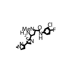 CNC(CC(N)c1ncc(-c2ccn(C)n2)s1)C(=O)Nc1ccc(F)c(Cl)c1